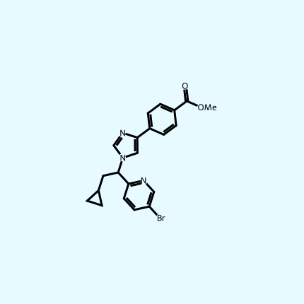 COC(=O)c1ccc(-c2cn(C(CC3CC3)c3ccc(Br)cn3)cn2)cc1